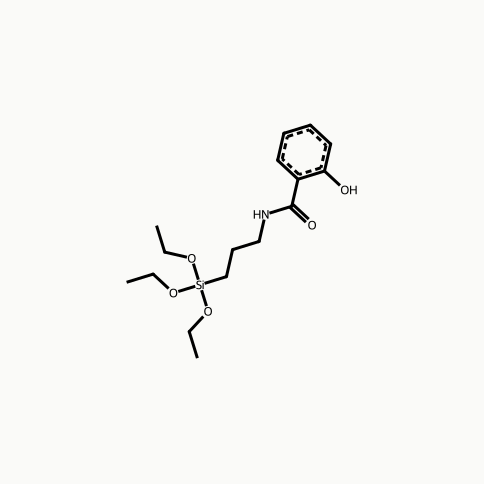 CCO[Si](CCCNC(=O)c1ccccc1O)(OCC)OCC